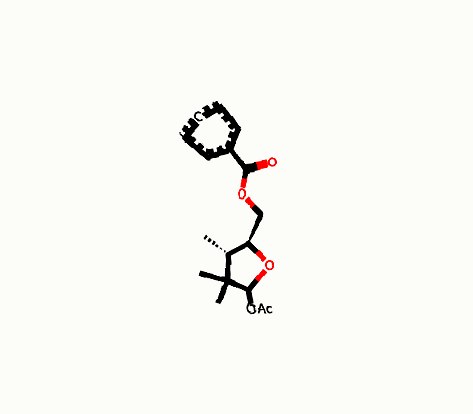 CC(=O)OC1O[C@H](COC(=O)c2ccccc2)[C@@H](C)C1(C)C